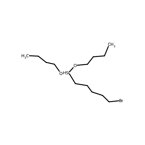 CCCCO[SiH](CCCCCBr)OCCCC